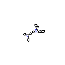 c1ccc(-c2cc(-c3ccc(-c4ccc(-c5nc(-c6ccc7ccccc7c6)cc(-c6ccc7ccccc7c6)n5)cc4)cc3)cc(-c3ccccc3)n2)cc1